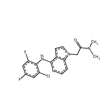 CN(C)C(=O)Cn1ccc2c(Nc3c(F)cc(F)cc3Cl)nccc21